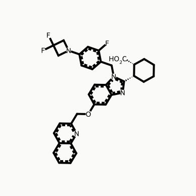 O=C(O)[C@@H]1CCCC[C@@H]1c1nc2cc(OCc3ccc4ccccc4n3)ccc2n1Cc1ccc(N2CC(F)(F)C2)cc1F